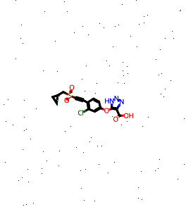 O=C(O)c1nn[nH]c1Oc1ccc(C#CS(=O)(=O)CC2CC2)c(Cl)c1